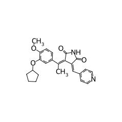 COc1ccc(C(C)=C2C(=O)NC(=O)C2=Cc2ccncc2)cc1OC1CCCC1